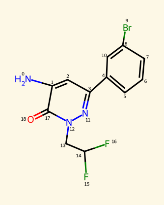 Nc1cc(-c2cccc(Br)c2)nn(CC(F)F)c1=O